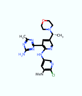 CNc1cc(Nc2ncc([C@@H](C)N3CCOCC3)cc2-c2nc(C)nc(N)n2)cnc1Cl